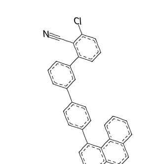 N#Cc1c(Cl)cccc1-c1cccc(-c2ccc(-c3cccc4ccc5ccccc5c34)cc2)c1